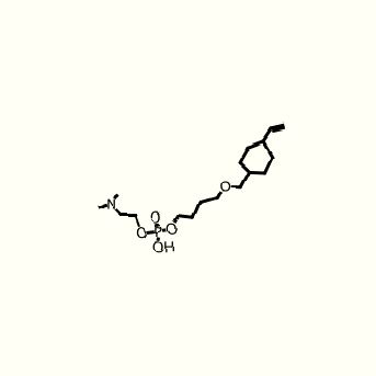 C=CC1CCC(COCCCCOP(=O)(O)OCCN(C)C)CC1